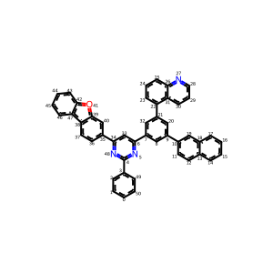 c1ccc(-c2nc(-c3cc(-c4ccc5ccccc5c4)cc(-c4cccc5ncccc45)c3)cc(-c3ccc4c(c3)oc3ccccc34)n2)cc1